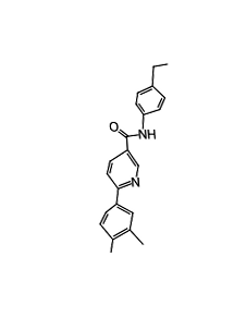 CCc1ccc(NC(=O)c2ccc(-c3ccc(C)c(C)c3)nc2)cc1